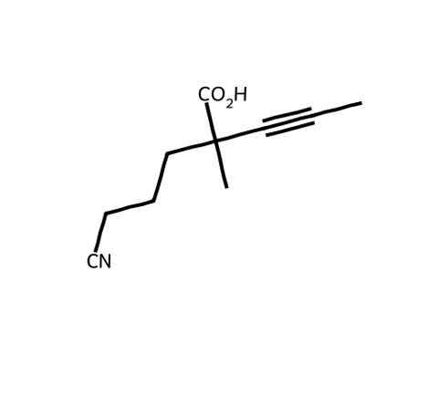 CC#CC(C)(CCCC#N)C(=O)O